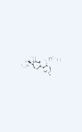 CC(C)(C)Sc1ccncc1-c1ccc(C2(O)COC2)cc1